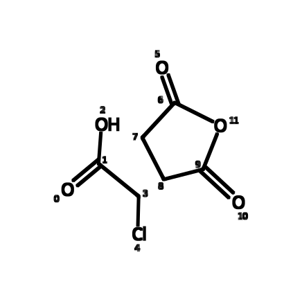 O=C(O)CCl.O=C1CCC(=O)O1